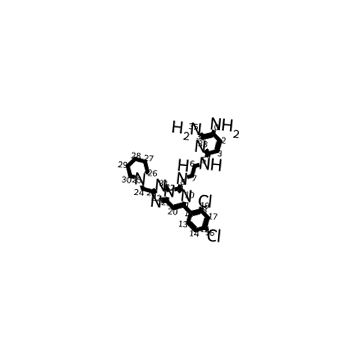 Nc1ccc(NCCNc2nc(-c3ccc(Cl)cc3Cl)cc3nc(CN4CCCCC4)nn23)nc1N